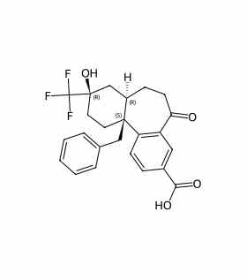 O=C(O)c1ccc2c(c1)C(=O)CC[C@@H]1C[C@@](O)(C(F)(F)F)CC[C@@]21Cc1ccccc1